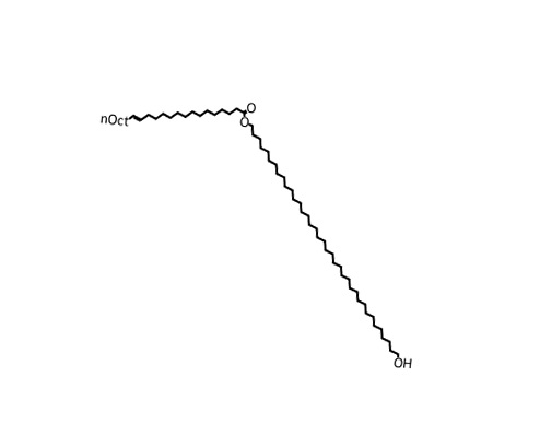 CCCCCCCCC=CCCCCCCCCCCCCCC(=O)OCCCCCCCCCCCCCCCCCCCCCCCCCCCCCCCCCCCCCO